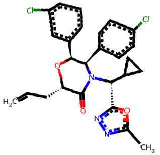 C=CC[C@@H]1O[C@@H](c2cccc(Cl)c2)[C@@H](c2ccc(Cl)cc2)N([C@@H](c2nnc(C)o2)C2CC2)C1=O